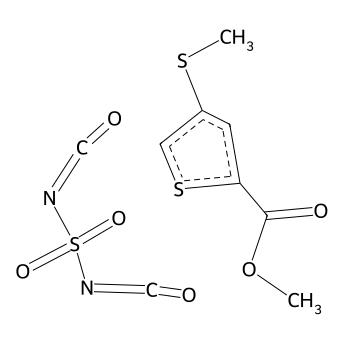 COC(=O)c1cc(SC)cs1.O=C=NS(=O)(=O)N=C=O